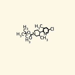 Cc1cc(Cl)cnc1C1CCN(C(=O)OC(C)(C)C)CC1C